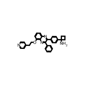 NC1(c2ccc(-c3nc4cccc(OCCc5ccncc5)c4nc3-c3ccccc3)cc2)CCC1